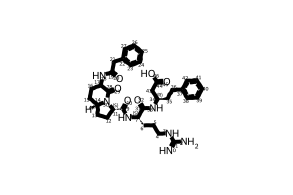 N=C(N)NCCC[C@H](NC(=O)[C@@H]1CC[C@@H]2CCC(NC(=O)Cc3ccccc3)C(=O)N21)C(=O)N[C@H](CCc1ccccc1)CC(=O)O